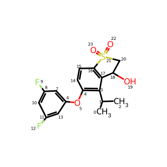 CC(C)c1c(Oc2cc(F)cc(F)c2)ccc2c1C(O)CS2(=O)=O